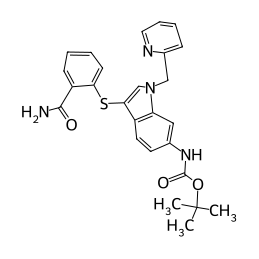 CC(C)(C)OC(=O)Nc1ccc2c(Sc3ccccc3C(N)=O)cn(Cc3ccccn3)c2c1